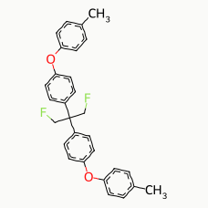 Cc1ccc(Oc2ccc(C(CF)(CF)c3ccc(Oc4ccc(C)cc4)cc3)cc2)cc1